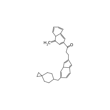 C=C1C=C(C(=O)CCC2=CC3C=C(CC4CCC5(CC4)CC5)C=CC3=C2)C=C2C=CC=CC12